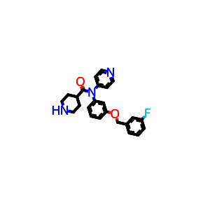 O=C(C1CCNCC1)N(c1ccncc1)c1cccc(OCc2cccc(F)c2)c1